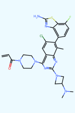 C=CC(=O)N1CCN(c2nc(N3CC(N(C)C)C3)nc3c(C)c(-c4ccc(F)c5sc(N)nc45)c(Cl)cc23)CC1